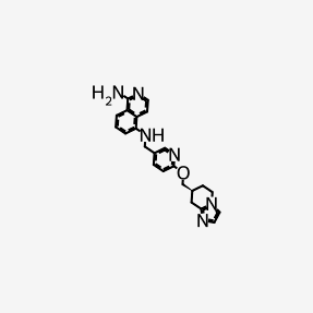 Nc1nccc2c(NCc3ccc(OC[C@H]4CCn5ccnc5C4)nc3)cccc12